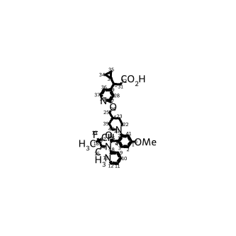 COc1ccc(C(=O)N(c2ccccn2)[C@@H](C)C(C)(C)F)c(N2CCC(COc3cc(C(CC(=O)O)C4CC4)ccn3)CC2)c1